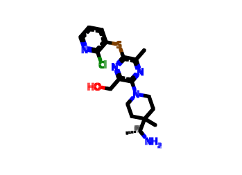 Cc1nc(N2CCC(C)([C@@H](C)N)CC2)c(CO)nc1Sc1cccnc1Cl